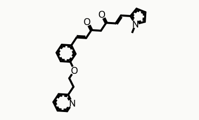 Cn1cccc1C=CC(=O)CC(=O)C=Cc1cccc(OCCc2ccccn2)c1